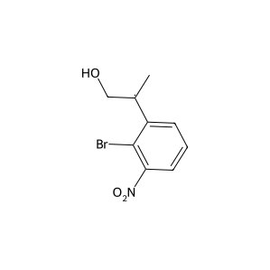 C[C](CO)c1cccc([N+](=O)[O-])c1Br